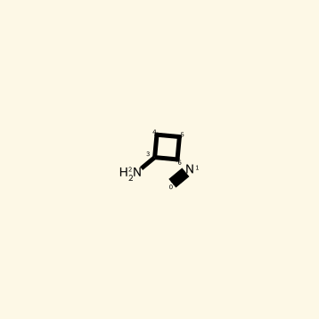 C#N.NC1CCC1